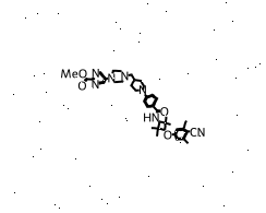 COC(=O)c1ncc(N2CCN(CC3CCN(c4ccc(C(=O)NC5C(C)(C)C(Oc6cc(C)c(C#N)c(C)c6)C5(C)C)cc4)CC3)CC2)cn1